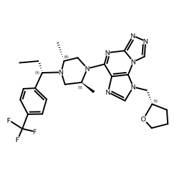 CC[C@@H](c1ccc(C(F)(F)F)cc1)N1C[C@H](C)N(c2nc3nncn3c3c2ncn3C[C@@H]2CCCO2)C[C@H]1C